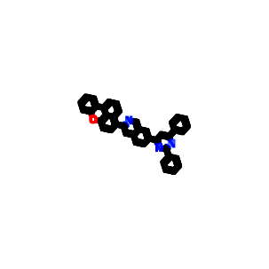 c1ccc(-c2cc(-c3ccc4cc(-c5ccc6c7c(cccc57)-c5ccccc5O6)ncc4c3)nc(-c3ccccc3)n2)cc1